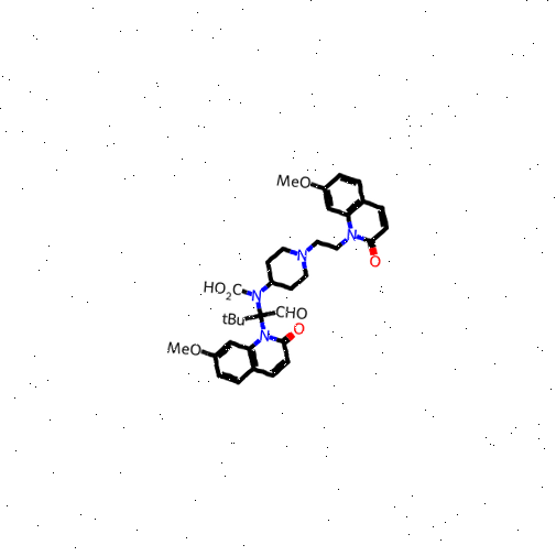 COc1ccc2ccc(=O)n(CCN3CCC(N(C(=O)O)C(C=O)(n4c(=O)ccc5ccc(OC)cc54)C(C)(C)C)CC3)c2c1